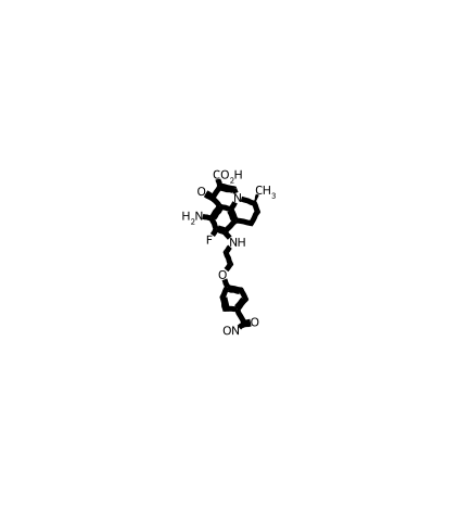 C[C@H]1CCc2c(NCCOc3ccc(C(=O)N=O)cc3)c(F)c(N)c3c(=O)c(C(=O)O)cn1c23